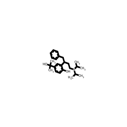 CC(C)N(CCC(Cc1ccccc1)c1cc(C(C)(C)O)ccc1O)C(C)C